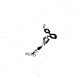 O=C(O)COCCN1CCN(Cc2ccccc2-c2ccc(F)cc2)CC1